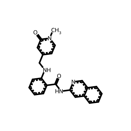 Cn1ccc(CNc2ccccc2C(=O)Nc2cc3ccccc3cn2)cc1=O